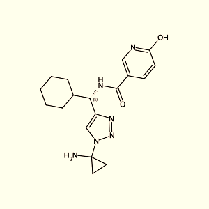 NC1(n2cc([C@@H](NC(=O)c3ccc(O)nc3)C3CCCCC3)nn2)CC1